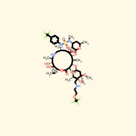 CC[C@H]1OC(=O)[C@H](C)[C@@H](O[C@H]2C[C@@](C)(OC)[C@](O)(CNCCOC(F)(F)F)[C@H](C)O2)[C@H](C)[C@@H](O[C@@H]2O[C@H](C)C[C@H](N(C)S(=O)(=O)Nc3ccc(C(F)(F)F)cc3)[C@H]2O)[C@](C)(O)C[C@@H](C)CN[C@H](C)[C@@H](O)[C@]1(C)O